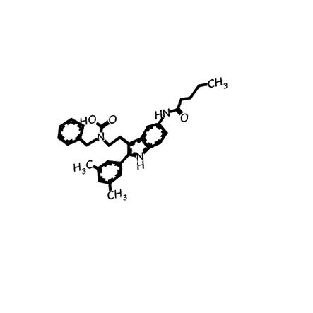 CCCCC(=O)Nc1ccc2[nH]c(-c3cc(C)cc(C)c3)c(CCN(Cc3ccccc3)C(=O)O)c2c1